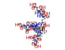 CC(C)(C(NC(=O)CC[C@H](NC(=O)N[C@@H](CCC(=O)O)C(=O)O)C(=O)O)C(=O)O)C(C)(C)N(Cc1nccn1CC(=O)N(CC(=O)O)CC(=O)O)Cc1nccn1CC(=O)N(CC(=O)O)CC(=O)O